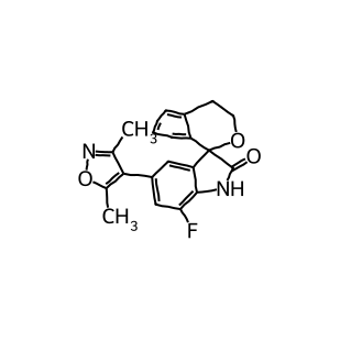 Cc1noc(C)c1-c1cc(F)c2c(c1)C1(OCCc3ccccc31)C(=O)N2